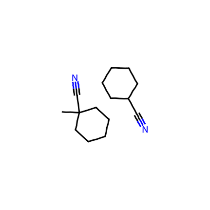 CC1(C#N)CCCCC1.N#CC1CCCCC1